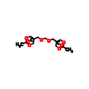 CC12OCC(COCOCC34COC(C)(OC3)OC4)(CO1)CO2